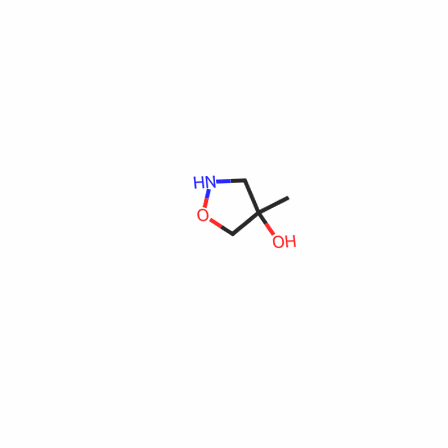 CC1(O)CNOC1